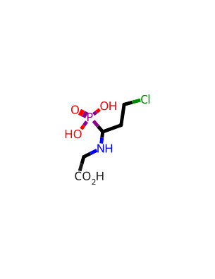 O=C(O)CNC(CCCl)P(=O)(O)O